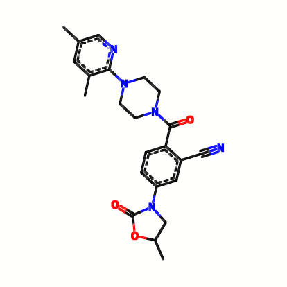 Cc1cnc(N2CCN(C(=O)c3ccc(N4CC(C)OC4=O)cc3C#N)CC2)c(C)c1